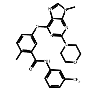 Cc1ccc(Oc2nc(N3CCOCC3)nc3c2ncn3C)cc1C(=O)Nc1cccc(C(F)(F)F)c1